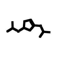 CC(C)OC1=CCC(OC(C)C)C1